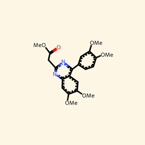 COC(=O)Cc1nc(-c2ccc(OC)c(OC)c2)c2cc(OC)c(OC)cc2n1